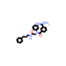 N=C(N)c1cccc(C(=O)N(CC(=O)NCCCc2ccccc2)c2ccccc2)c1